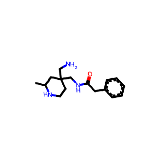 CC1CC(CN)(CNC(=O)Cc2ccccc2)CCN1